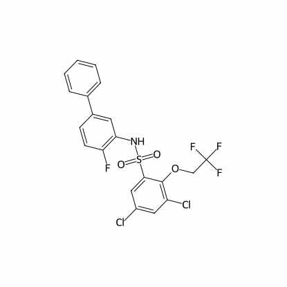 O=S(=O)(Nc1cc(-c2ccccc2)ccc1F)c1cc(Cl)cc(Cl)c1OCC(F)(F)F